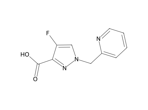 O=C(O)c1nn(Cc2ccccn2)cc1F